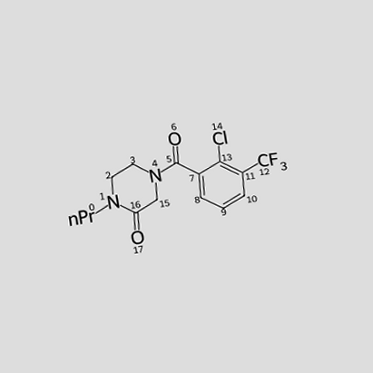 CCCN1CCN(C(=O)c2cccc(C(F)(F)F)c2Cl)CC1=O